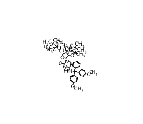 COc1ccc(C(Nc2ncn([C@@H]3O[C@H](CO[Si](C)(C)C(C)(C)C)[C@@H](O)[C@H]3O[Si](C)(C)C(C)(C)C)c(=O)n2)(c2ccccc2)c2ccc(OC)cc2)cc1